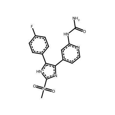 CS(=O)(=O)c1nc(-c2ccnc(NC(N)=O)c2)c(-c2ccc(F)cc2)[nH]1